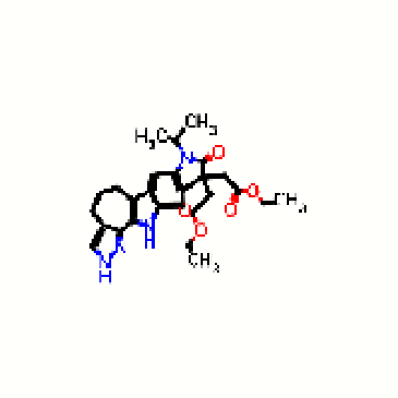 CCOC(=O)CC1(CC(=O)OCC)C(=O)N(C(C)C)c2cc3c4c([nH]c3cc21)-c1n[nH]cc1CCC4